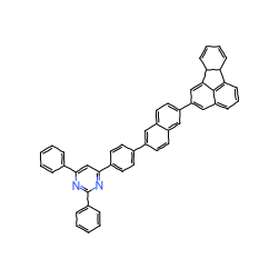 C1=CC2c3cccc4cc(-c5ccc6cc(-c7ccc(-c8cc(-c9ccccc9)nc(-c9ccccc9)n8)cc7)ccc6c5)cc(c34)C2C=C1